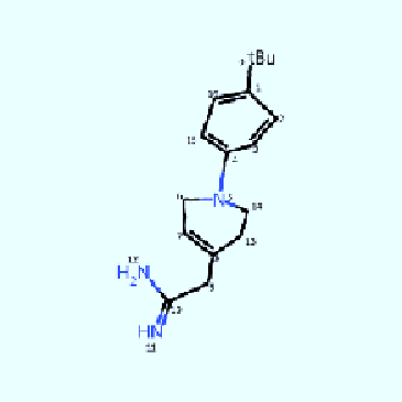 CC(C)(C)c1ccc(N2CC=C(CC(=N)N)CC2)cc1